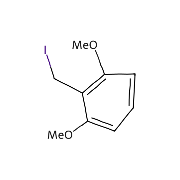 COc1cccc(OC)c1CI